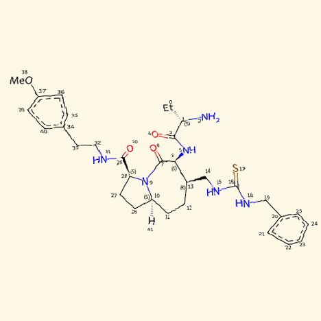 CC[C@H](N)C(=O)N[C@@H]1C(=O)N2[C@@H](CC[C@@H]1CNC(=S)NCc1ccccc1)CC[C@H]2C(=O)NCCc1ccc(OC)cc1